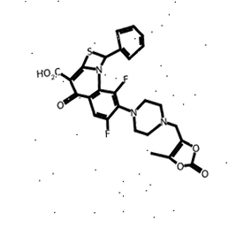 Cc1oc(=O)oc1CN1CCN(c2c(F)cc3c(=O)c(C(=O)O)c4n(c3c2F)C(c2ccccc2)S4)CC1